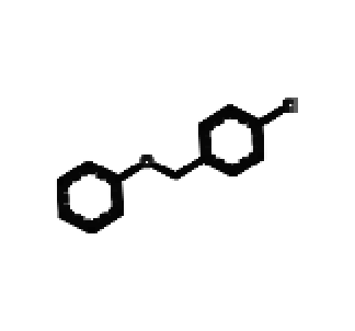 Clc1ccc(COc2ccccc2)cc1